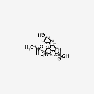 CCNC(=O)Nc1cc2c(-c3ccc(O)cc3)ccc(CNC(=O)O)c2cn1